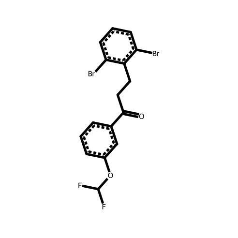 O=C(CCc1c(Br)cccc1Br)c1cccc(OC(F)F)c1